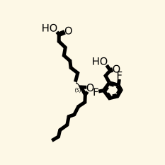 CCCCCCCCC1O[C@H]1CCCCCCCC(=O)O.O=C(O)Cc1c(F)cccc1F